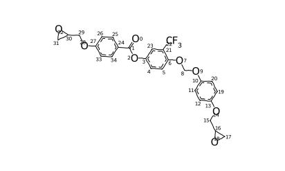 O=C(Oc1ccc(OCOc2ccc(OCC3CO3)cc2)c(C(F)(F)F)c1)c1ccc(OCC2CO2)cc1